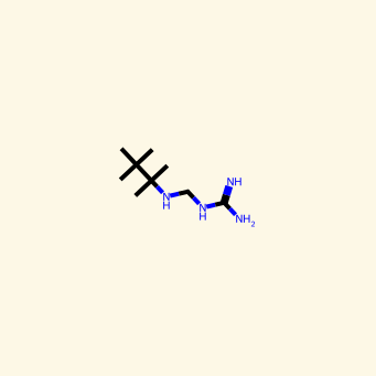 CC(C)(C)C(C)(C)NCNC(=N)N